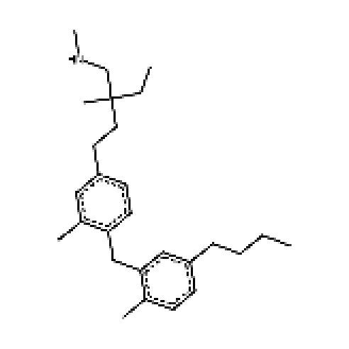 CCCCc1ccc(C)c(Cc2ccc(CCC(C)(CC)CNC)cc2C)c1